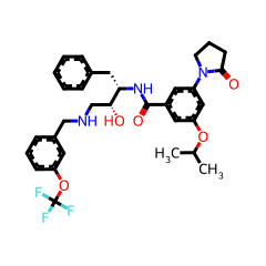 CC(C)Oc1cc(C(=O)N[C@@H](Cc2ccccc2)[C@H](O)CNCc2cccc(OC(F)(F)F)c2)cc(N2CCCC2=O)c1